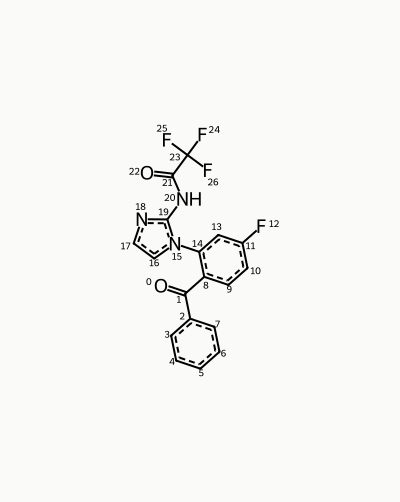 O=C(c1ccccc1)c1ccc(F)cc1-n1ccnc1NC(=O)C(F)(F)F